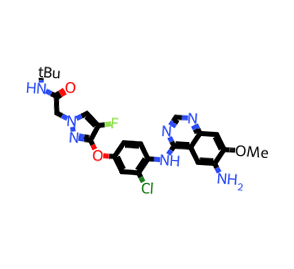 COc1cc2ncnc(Nc3ccc(Oc4nn(CC(=O)NC(C)(C)C)cc4F)cc3Cl)c2cc1N